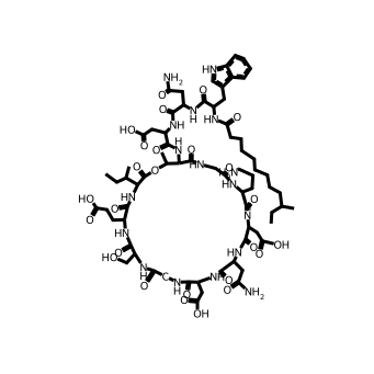 CCC(C)CCCCCCCCC(=O)NC(Cc1c[nH]c2ccccc12)C(=O)NC(CC(N)=O)C(=O)NC(CC(=O)O)C(=O)NC1C(=O)NCC(=O)NC(CCCN)C(=O)NC(CC(=O)O)C(=O)NC(CC(N)=O)C(=O)NC(CC(=O)O)C(=O)NCC(=O)NC(CO)C(=O)NC(CCC(=O)O)C(=O)NC(C(C)CC)C(=O)OC1C